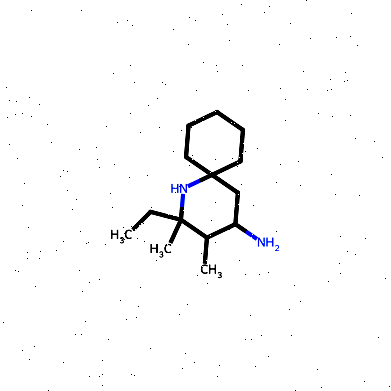 CCC1(C)NC2(CCCCC2)CC(N)C1C